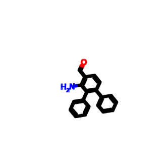 Nc1c(C=O)ccc(-c2ccccc2)c1-c1ccccc1